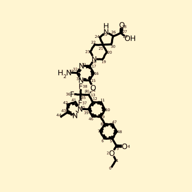 CCOC(=O)c1ccc(-c2ccc([C@@H](Oc3cc(N4CCC5(CC4)CNC(C(=O)O)C5)nc(N)n3)C(F)(F)F)c(-n3ccc(C)n3)c2)cc1